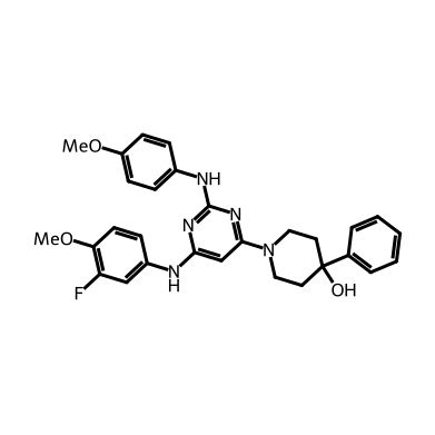 COc1ccc(Nc2nc(Nc3ccc(OC)c(F)c3)cc(N3CCC(O)(c4ccccc4)CC3)n2)cc1